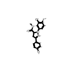 COC(=O)C1CC(c2ccc(Cl)cc2)=NN1c1ccc(F)c(Cl)c1